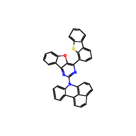 c1ccc2c(c1)-c1cccc3cccc(c13)N2c1nc(-c2cccc3c2sc2ccccc23)c2oc3ccccc3c2n1